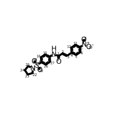 O=C(C=Cc1ccc([N+](=O)[O-])cc1)Nc1ccc(S(=O)(=O)N2CCCC2)cc1